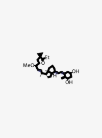 C=C1/C(=C\C=C2/CCC[C@]3(C)[C@@H]([C@H](C)/C=C/[C@H](CCC4(C(=O)CC)CC4)OC)CC[C@@H]23)C[C@@H](O)C[C@@H]1O